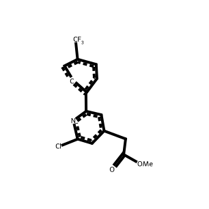 COC(=O)Cc1cc(Cl)nc(-c2ccc(C(F)(F)F)cc2)c1